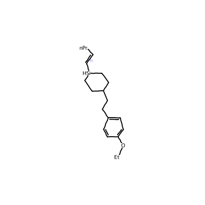 CCC/C=C/[SiH]1CCC(CCc2ccc(OCC)cc2)CC1